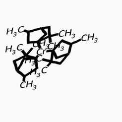 CC1C[C]2([Cr]([C]34CC(C)C(CC3(C)C)C4)[C]34CC(C)C(CC3(C)C)C4)CC1CC2(C)C